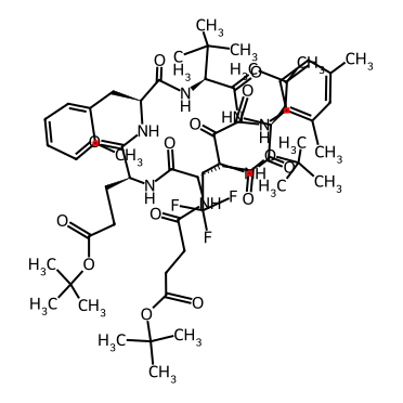 Cc1ccc(NC(=O)C(=O)C(CC(F)(F)F)NC(=O)[C@H](CC(C)C)NC(=O)[C@@H](NC(=O)[C@H](Cc2ccccc2C)NC(=O)[C@H](CCC(=O)OC(C)(C)C)NC(=O)[C@H](CC(=O)OC(C)(C)C)NC(=O)CCC(=O)OC(C)(C)C)C(C)(C)C)c(C)c1